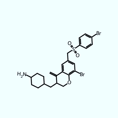 C=C1c2cc(CS(=O)(=O)c3ccc(Br)cc3)cc(Br)c2OCC1CC1CCC(N)CC1